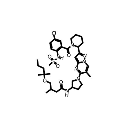 CCCC(C)(C)OCC(C)CC(=O)NC1CCN(c2nc3cc(C4CCCCN4C(=O)c4cc(Cl)ccc4NS(C)(=O)=O)nn3cc2C)C1